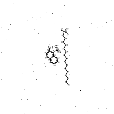 CCCCCCCCCCCCCCCC[N+](C)(C)C.O=C([O-])c1c(O)ccc2ccccc12